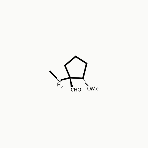 CO[C@H]1CCC[C@@]1(C=O)[SiH2]C